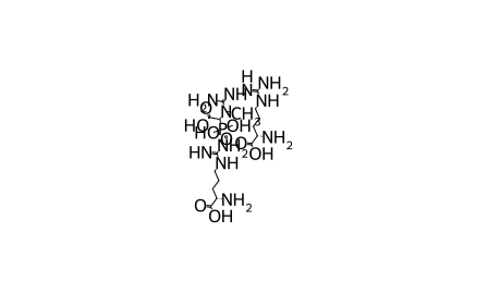 CN(C(=N)N)C(C(=O)O)P(=O)(O)O.N=C(N)NCCC[C@H](N)C(=O)O.N=C(N)NCCC[C@H](N)C(=O)O